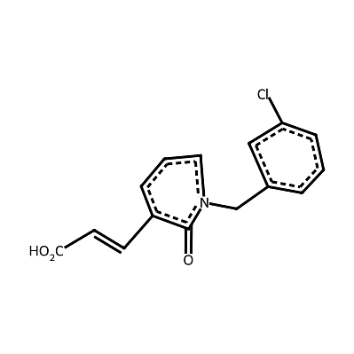 O=C(O)/C=C/c1cccn(Cc2cccc(Cl)c2)c1=O